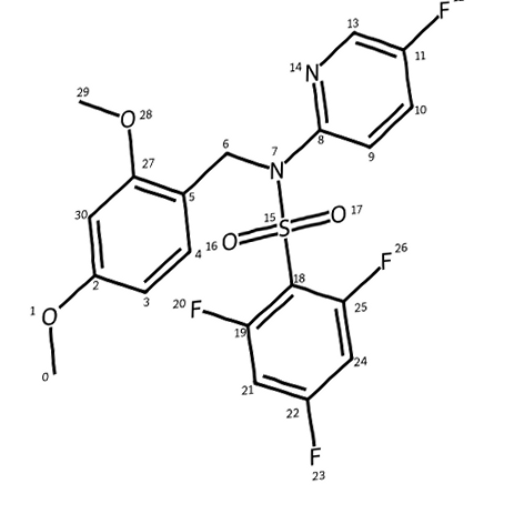 COc1ccc(CN(c2ccc(F)cn2)S(=O)(=O)c2c(F)cc(F)cc2F)c(OC)c1